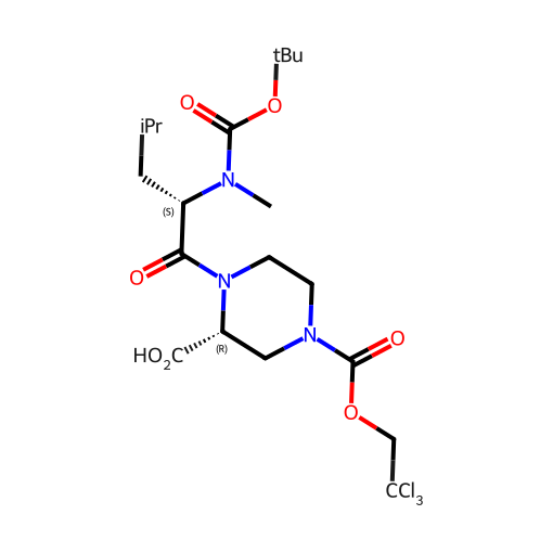 CC(C)C[C@@H](C(=O)N1CCN(C(=O)OCC(Cl)(Cl)Cl)C[C@@H]1C(=O)O)N(C)C(=O)OC(C)(C)C